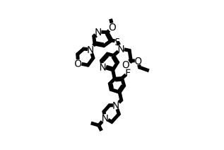 CCOC(=O)CN(Sc1cc(N2CCOCC2)cnc1OC)c1ccnc(-c2ccc(CN3CCN(C(C)C)CC3)cc2F)c1